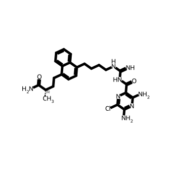 C[C@@H](CCc1ccc(CCCCNC(=N)NC(=O)c2nc(Cl)c(N)nc2N)c2ccccc12)C(N)=O